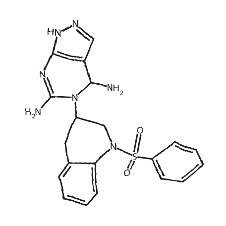 NC1=Nc2[nH]ncc2C(N)N1C1Cc2ccccc2N(S(=O)(=O)c2ccccc2)C1